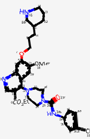 CCOC(=O)c1cnc2cc(OCCCC3CCCNC3)c(OC)cc2c1N1CCN(C(=O)Nc2ccc(C#N)cc2)CC1